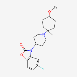 CCOC1CCC(C)(N2CCC(n3c(=O)oc4ccc(F)cc43)CC2)CC1